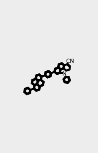 N#CC1=CCC2c3c1ccc1cc(-c4ccc(-c5ccc6ccc7c(-c8ccccc8)ccc8ccc5c6c87)cc4)cc(c31)N2c1ccccc1